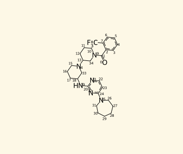 O=C(c1ccccc1C(F)(F)F)N1CCCC(N2CCCC(Nc3nccc(N4CCCCCC4)n3)C2)C1